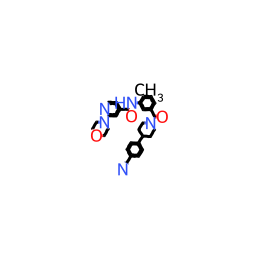 Cc1ccc(C(=O)N2CCC(c3ccc(C#N)cc3)CC2)cc1NC(=O)c1ccnc(N2CCOCC2)c1